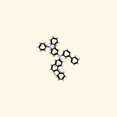 c1ccc(-c2cccc(N(c3ccc4c(ccc5sc6ccccc6c54)c3)c3ccc4c(c3)c3ccccc3n4-c3ccccc3)c2)cc1